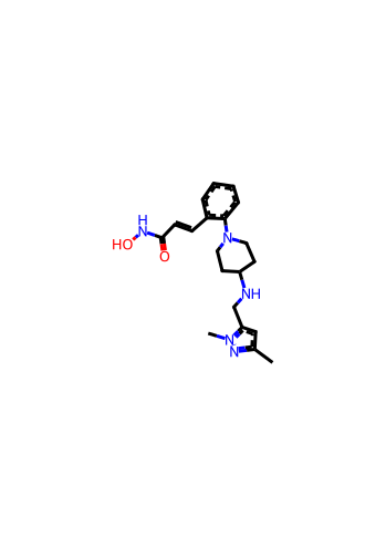 Cc1cc(CNC2CCN(c3ccccc3C=CC(=O)NO)CC2)n(C)n1